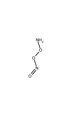 NOON=O